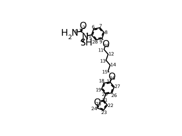 NC(=O)N(S)c1cccc(OCCCCCOc2ccc(-c3ccco3)cc2)c1